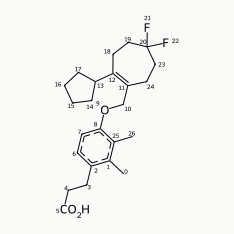 Cc1c(CCC(=O)O)ccc(OCC2=C(C3CCCC3)CCC(F)(F)CC2)c1C